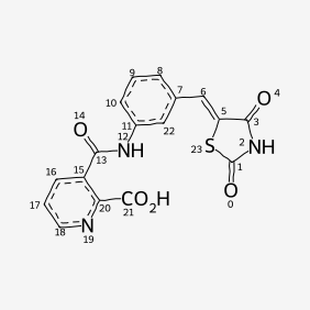 O=C1NC(=O)C(=Cc2cccc(NC(=O)c3cccnc3C(=O)O)c2)S1